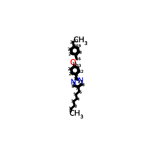 CCCCCCCc1cnc(-c2ccc(OCc3ccc(CC)cc3)cc2)nc1